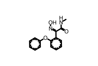 CNC(=O)C(=NO)c1ccccc1Oc1ccccc1